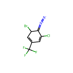 [N-]=[N+]=C1C(Cl)=CC(C(F)(F)F)=CC1Br